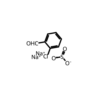 O=Cc1ccccc1Cl.O=S([O-])[O-].[Na+].[Na+]